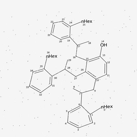 CCCCCCc1ccccc1C(C)Cc1ccc(O)c(CC(C)c2ccccc2CCCCCC)c1CC(C)c1ccccc1CCCCCC